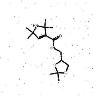 CC1(C)C=C(C(=O)NCC2COC(C)(C)O2)C(C)(C)N1